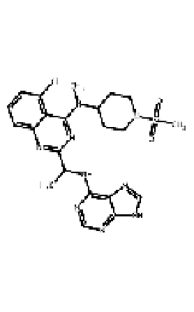 CC(Nc1ncnc2[nH]cnc12)c1nc(N(C)C2CCN(S(C)(=O)=O)CC2)c2c(Cl)cccc2n1